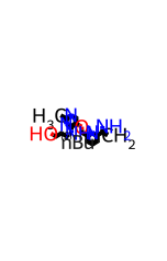 C=C(N)c1cccc(COc2cnc(C)nc2N[C@H](CCO)CCCC)n1